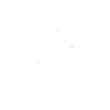 COc1nnc(CBr)c2cc(Br)ccc12